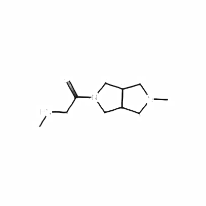 C=C(CNC)N1CC2CN(C)CC2C1